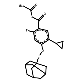 CC(C)(C)C(=O)OC(=O)c1cc(C2CC2)c(OCC23CC4CC(CC(C4)C2)C3)cc1F